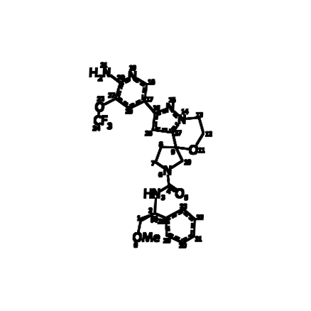 COC[C@@H](NC(=O)N1CCC2(C1)OCCn1nc(-c3cnc(N)c(OC(F)(F)F)c3)cc12)c1ccccc1